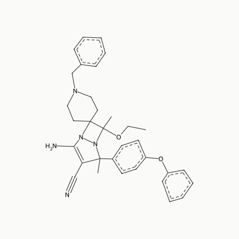 CCOC1(C)N2N(C(N)=C(C#N)C2(C)c2ccc(Oc3ccccc3)cc2)C12CCN(Cc1ccccc1)CC2